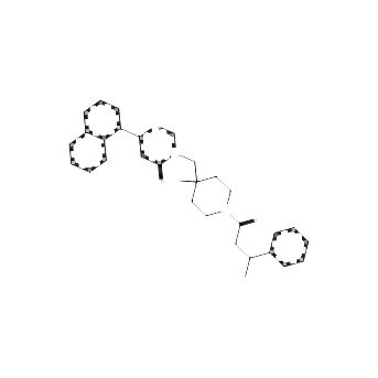 CC(CC(=O)N1CCC(O)(Cn2cnc(-c3cccc4ccccc34)cc2=O)CC1)c1ccccc1